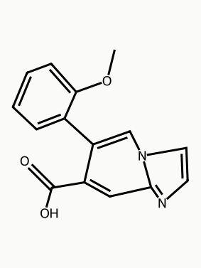 COc1ccccc1-c1cn2ccnc2cc1C(=O)O